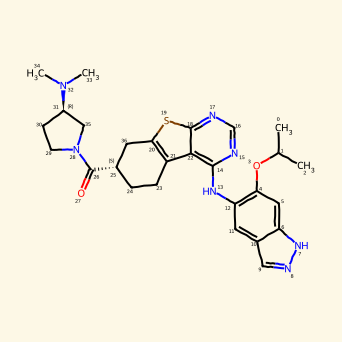 CC(C)Oc1cc2[nH]ncc2cc1Nc1ncnc2sc3c(c12)CC[C@H](C(=O)N1CC[C@@H](N(C)C)C1)C3